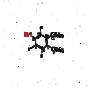 COc1c(C)c(C)c(Br)c(C)c1OC